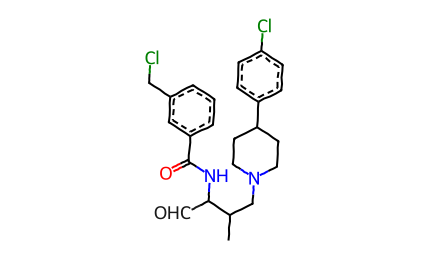 CC(CN1CCC(c2ccc(Cl)cc2)CC1)C(C=O)NC(=O)c1cccc(CCl)c1